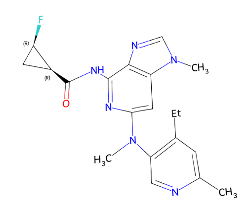 CCc1cc(C)ncc1N(C)c1cc2c(ncn2C)c(NC(=O)[C@H]2C[C@H]2F)n1